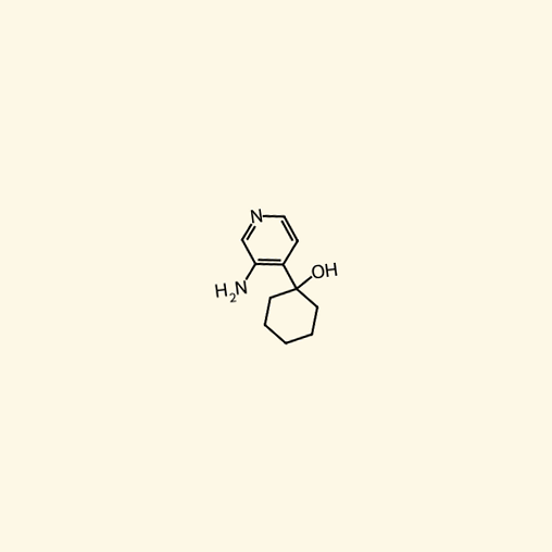 Nc1cnccc1C1(O)CCCCC1